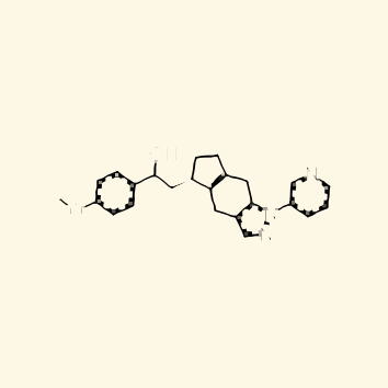 COc1ccc(C(O)C[C@H]2CCC3=C2[C@@H](C)c2cnn(-c4cccnc4)c2C3)cc1